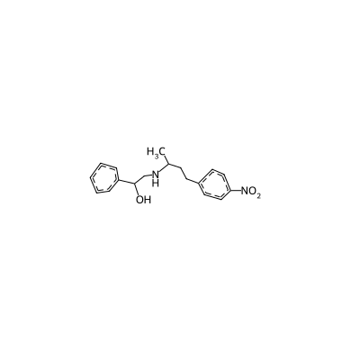 CC(CCc1ccc([N+](=O)[O-])cc1)NCC(O)c1ccccc1